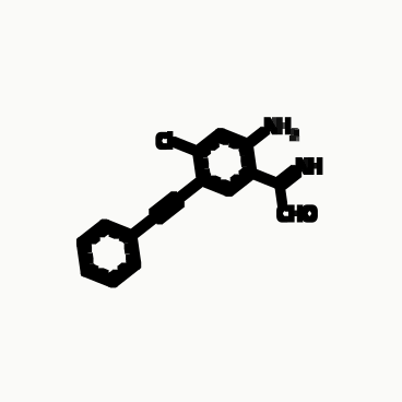 N=C(C=O)c1cc(C#Cc2ccccc2)c(Cl)cc1N